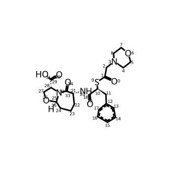 O=C(CN1CCOCC1)S[C@@H](Cc1ccccc1)C(=O)N[C@@H]1CCC[C@H]2OC[C@H](C(=O)O)N2C1=O